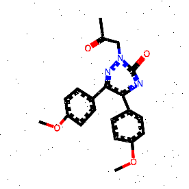 COc1ccc(-c2nc(=O)n(CC(C)=O)nc2-c2ccc(OC)cc2)cc1